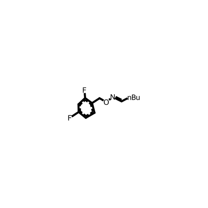 CCCCC=NOCc1ccc(F)cc1F